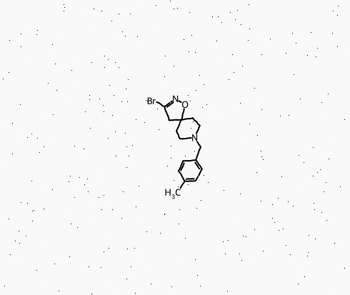 Cc1ccc(CN2CCC3(CC2)CC(Br)=NO3)cc1